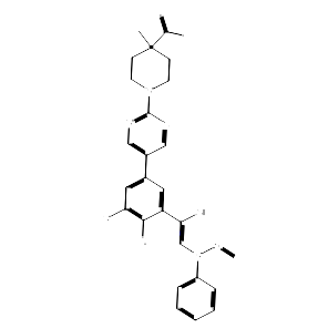 C=NN(/C=C(\N)c1cc(-c2cnc(N3CCC(C)(C(=O)O)CC3)nc2)cc(N)c1S)c1ccccc1